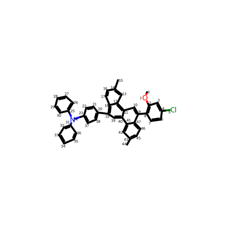 COc1cc(Cl)ccc1-c1cc2c3cc(C)ccc3c(-c3ccc(N(c4ccccc4)c4ccccc4)cc3)cc2c2cc(C)ccc12